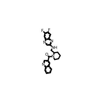 O=C(c1cnc2ccccc2c1)N1CCCCC1CNc1cnc2cc(F)c(F)cc2n1